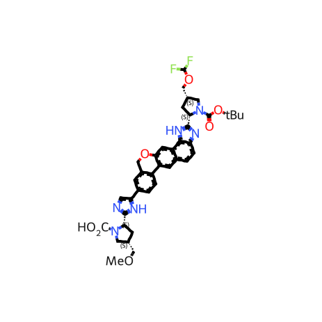 COC[C@H]1C[C@@H](c2ncc(-c3ccc4c(c3)COc3cc5c(ccc6nc([C@@H]7C[C@H](COC(F)F)CN7C(=O)OC(C)(C)C)[nH]c65)cc3-4)[nH]2)N(C(=O)O)C1